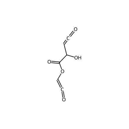 O=C=COC(=O)C(O)C=C=O